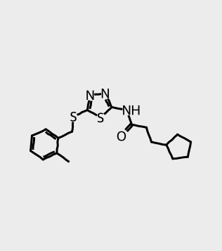 Cc1ccccc1CSc1nnc(NC(=O)CCC2CCCC2)s1